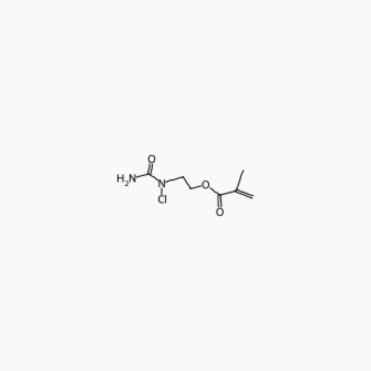 C=C(C)C(=O)OCCN(Cl)C(N)=O